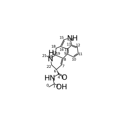 CC(O)NC(=O)[C@@H]1C=C2c3cccc4[nH]cc(c34)C[C@H]2N(C)C1